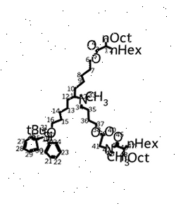 CCCCCCCCC(CCCCCC)C(=O)OCCCCCC(CCCCCO[Si](c1ccccc1)(c1ccccc1)C(C)(C)C)N(C)CCCCOC(=O)CN(C)C(=O)C(CCCCCC)CCCCCCCC